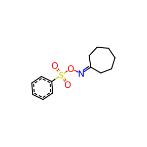 O=S(=O)(ON=C1CCCCCC1)c1ccccc1